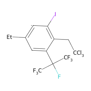 CCc1[c]c(I)c(CC(Cl)(Cl)Cl)c(C(F)(C(F)(F)F)C(F)(F)F)c1